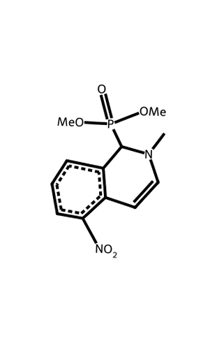 COP(=O)(OC)C1c2cccc([N+](=O)[O-])c2C=CN1C